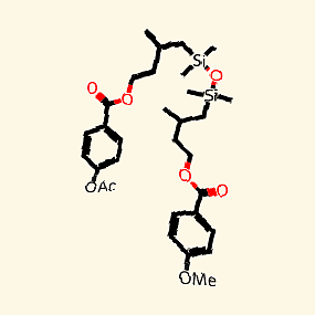 COc1ccc(C(=O)OCCC(C)C[Si](C)(C)O[Si](C)(C)CC(C)CCOC(=O)c2ccc(OC(C)=O)cc2)cc1